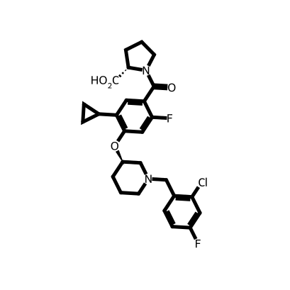 O=C(O)[C@@H]1CCCN1C(=O)c1cc(C2CC2)c(O[C@@H]2CCCN(Cc3ccc(F)cc3Cl)C2)cc1F